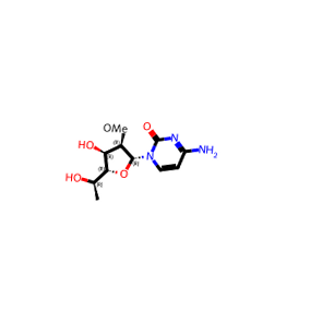 CO[C@@H]1[C@H](O)[C@@H]([C@@H](C)O)O[C@H]1n1ccc(N)nc1=O